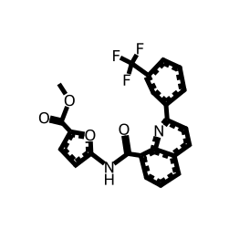 COC(=O)c1ccc(NC(=O)c2cccc3ccc(-c4cccc(C(F)(F)F)c4)nc23)o1